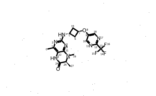 Cc1nc(N[C@H]2C[C@H](Oc3cnc(C(F)(F)F)nc3)C2)nc2c1NC(=O)[C@H](C)N2C